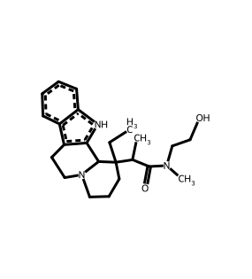 CCC1(C(C)C(=O)N(C)CCO)CCCN2CCc3c([nH]c4ccccc34)C21